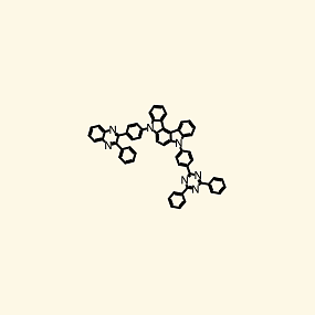 c1ccc(-c2nc(-c3ccccc3)nc(-c3ccc(-n4c5ccccc5c5c6c7ccccc7n(-c7ccc(-c8nc9ccccc9nc8-c8ccccc8)cc7)c6ccc54)cc3)n2)cc1